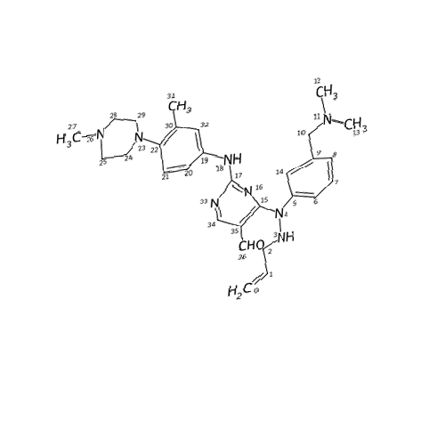 C=CCNN(c1cccc(CN(C)C)c1)c1nc(Nc2ccc(N3CCN(C)CC3)c(C)c2)ncc1C=O